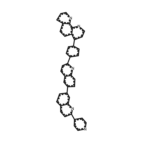 c1cnc2c(c1)ccc1c(-c3ccc(-c4ccc5cc(-c6ccc7ccc(-c8ccncc8)nc7c6)ccc5n4)cc3)ccnc12